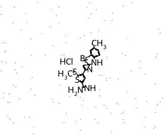 CSc1sc(C(=N)N)cc1-c1csc(Nc2ccc(C)cc2Br)n1.Cl